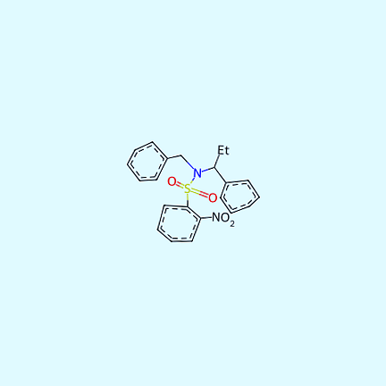 CCC(c1ccccc1)N(Cc1ccccc1)S(=O)(=O)c1ccccc1[N+](=O)[O-]